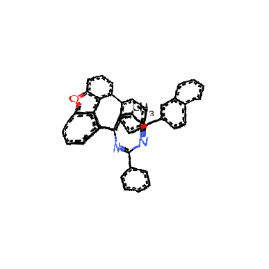 CC1=C=C(c2cccc3oc4cccc(-c5ccccc5)c4c23)N=C(c2ccccc2)N=C1c1ccc2ccccc2c1